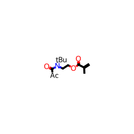 C=C(C)C(=O)OCCN(C(=O)C(C)=O)C(C)(C)C